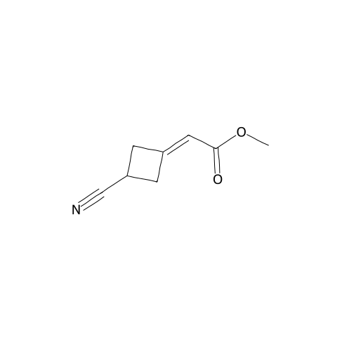 COC(=O)C=C1CC(C#N)C1